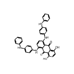 O=C1c2c(O)ccc(O)c2C(=O)c2c(Nc3ccc(Nc4ccccc4)cc3)ccc(Nc3ccc(Nc4ccccc4)cc3)c21